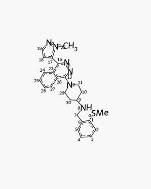 CSc1ccccc1CNC1CCN(c2nnc(-c3ccnn3C)c3ccccc23)CC1